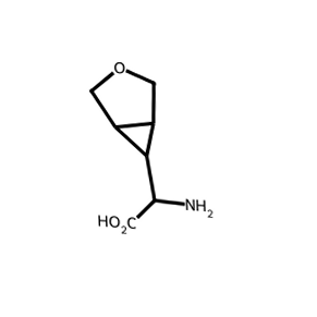 NC(C(=O)O)C1C2COCC21